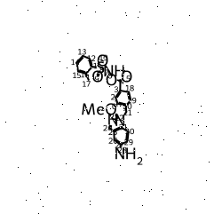 COc1cc(C(=O)ONS(=O)(=O)c2ccccc2C)ccc1Cn1ncc2cc(N)ccc21